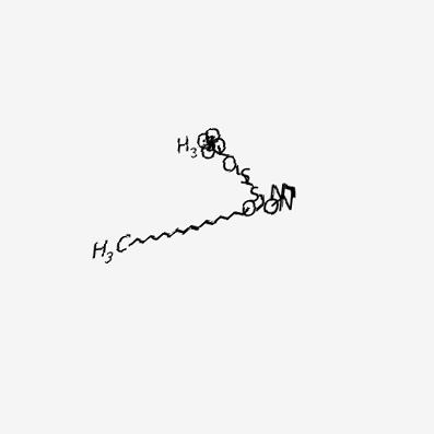 CCCCCCCCCCCCCCCCCCOCC(CSCCSCCOCCOS(C)(=O)=O)Oc1ncccn1